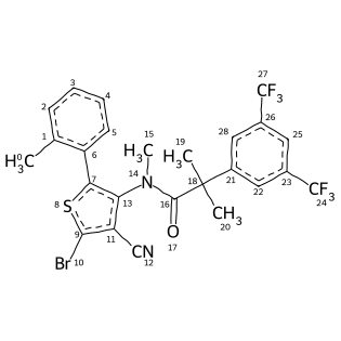 Cc1ccccc1-c1sc(Br)c(C#N)c1N(C)C(=O)C(C)(C)c1cc(C(F)(F)F)cc(C(F)(F)F)c1